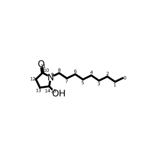 CCCCCCCCCN1C(=O)CCC1O